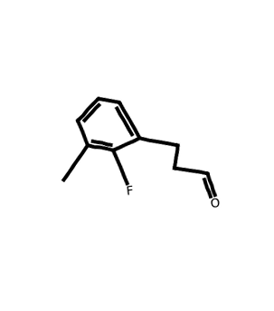 Cc1cccc(CCC=O)c1F